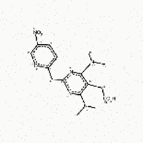 CN(C)c1nc(Cc2ccc([N+](=O)[O-])c[13cH]2)nc(N(C)C)c1CC(=O)O